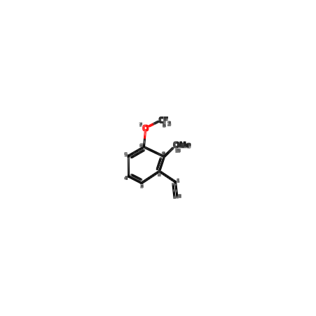 C=Cc1cccc(OC(F)(F)F)c1OC